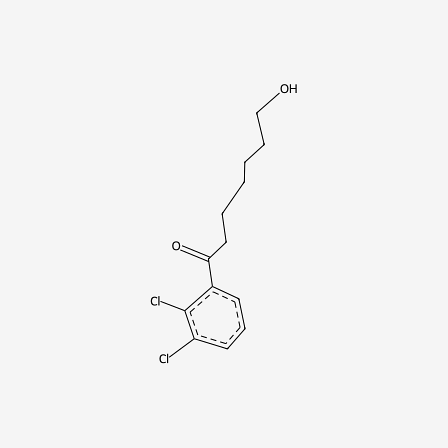 O=C(CCCCCCO)c1cccc(Cl)c1Cl